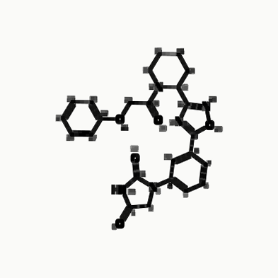 O=C1CN(c2cccc(-c3nc(C4CCCCN4C(=O)COc4ccccc4)no3)c2)C(=O)N1